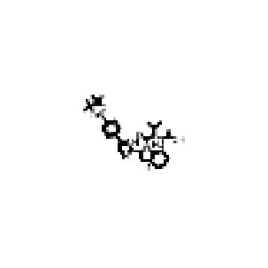 CC(C)[C@H](NC(=O)O)C(=O)N1[C@H](c2ncc(-c3ccc(B4OC(C)(C)C(C)(C)O4)cc3)[nH]2)C[C@@H]2CCCC[C@@H]21